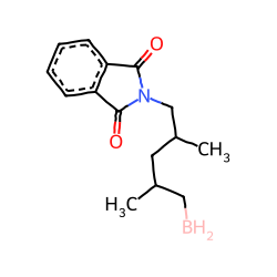 BCC(C)CC(C)CN1C(=O)c2ccccc2C1=O